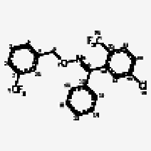 FC(F)(F)c1cccc(CO/N=C(\c2ccccc2)c2cc(Cl)ccc2C(F)(F)F)c1